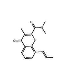 CC=Cc1cccc2c(=O)c(C)c(C(=O)N(C)C)oc12